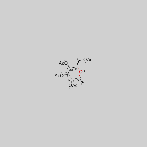 CC(=O)OC[C@H]1O[C@@H](C)[C@H](OC(C)=O)[C@@H](OC(C)=O)[C@H]1OC(C)=O